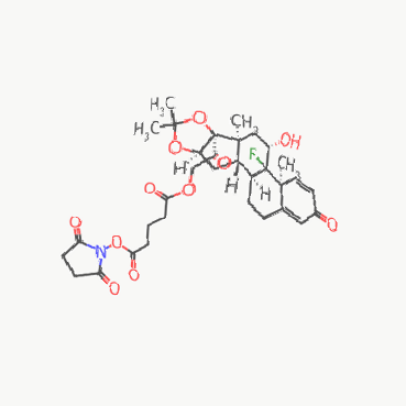 CC1(C)O[C@@H]2C[C@H]3[C@@H]4CCC5=CC(=O)C=C[C@]5(C)[C@@]4(F)[C@@H](O)C[C@]3(C)[C@]2(C(=O)COC(=O)CCCC(=O)ON2C(=O)CCC2=O)O1